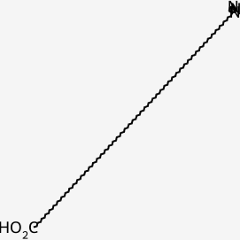 O=C(O)CCCCCCCCCCCCCCCCCCCCCCCCCCCCCCCCCCCCCCCCCCCCCCCCCCCCCCCCCCCCCCCCCCCCCCCCCCCCCCCCCCCCCCCCCCCCCCCCCCCc1ccnnn1